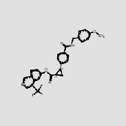 COc1ccc(CNC(=O)c2ccc([C@@H]3C[C@H]3C(=O)Nc3ccc4cncc(C(F)(F)F)c4c3)cc2)cc1